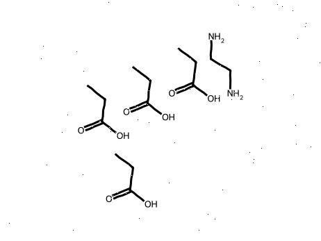 CCC(=O)O.CCC(=O)O.CCC(=O)O.CCC(=O)O.NCCN